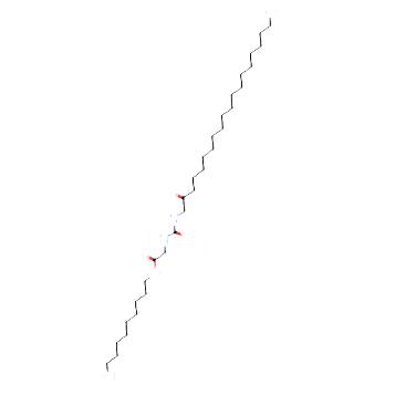 CCCCCCCCCCCCCCCCCCC(=O)CNC(=O)NCC(=O)OCCCCCCCCCC